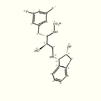 O=C(O)N[C@@H](Cc1cc(F)cc(F)c1)[C@H](O)CN[C@H]1c2ccccc2C[C@H]1O